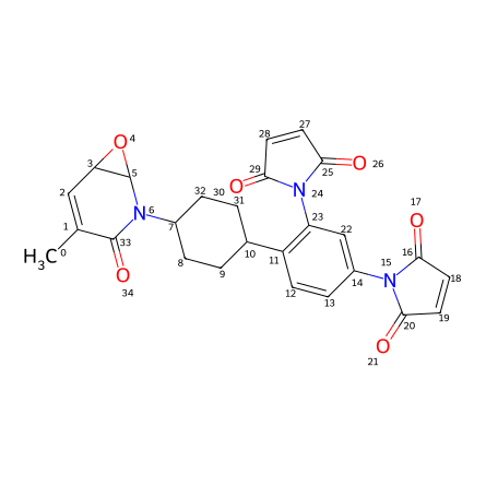 CC1=CC2OC2N(C2CCC(c3ccc(N4C(=O)C=CC4=O)cc3N3C(=O)C=CC3=O)CC2)C1=O